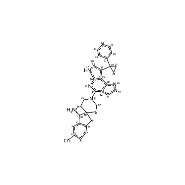 N[C@@H]1c2cc(Cl)ccc2CC12CCN(c1nc3[nH]nc(C4(c5ccccc5)CC4)c3c3nncn13)CC2